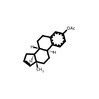 CC(=O)Oc1ccc2c(c1)CC[C@@H]1[C@@H]2CC[C@]2(C)C=CC[C@@H]12